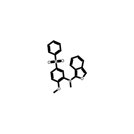 COc1ccc(S(=O)(=O)c2ccccc2)cc1N(C)c1occ2ccccc12